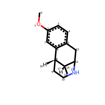 COc1ccc2c(c1)[C@H]1CCNC(C2)[C@@H]1C